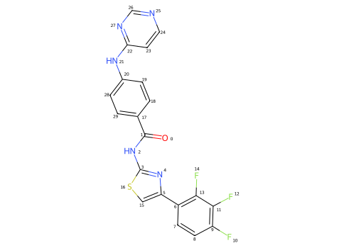 O=C(Nc1nc(-c2ccc(F)c(F)c2F)cs1)c1ccc(Nc2ccncn2)cc1